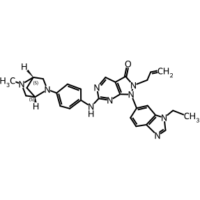 C=CCn1c(=O)c2cnc(Nc3ccc(N4C[C@@H]5C[C@H]4CN5C)cc3)nc2n1-c1ccc2ncn(CC)c2c1